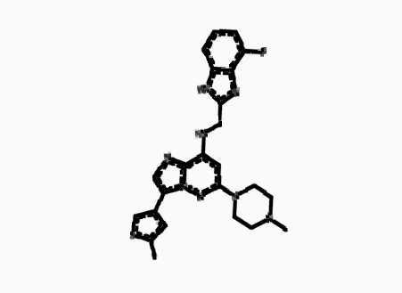 Cc1cc(-c2cnc3c(NCc4nc5c(F)cccc5[nH]4)cc(N4CCN(C)CC4)nn23)cs1